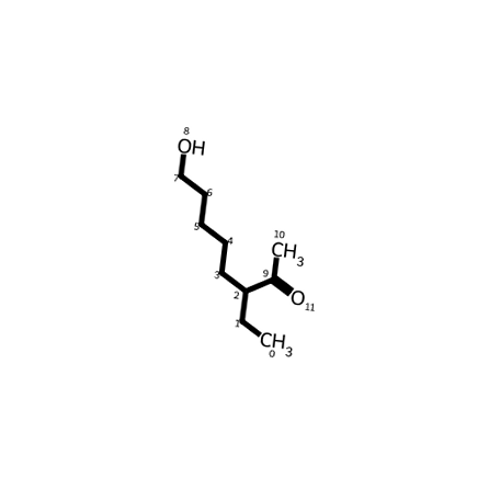 CCC(CCCCCO)C(C)=O